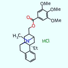 CC[C@@]12CC3C(COC(=O)c4cc(OC)c(OC)c(OC)c4)CC1C(Cc1ccccc12)N3C.Cl